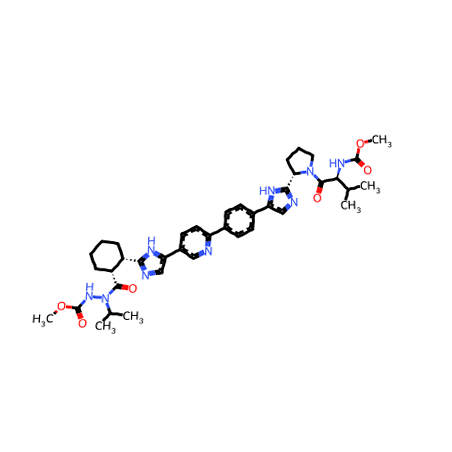 COC(=O)N[C@H](C(=O)N1CCC[C@H]1c1ncc(-c2ccc(-c3ccc(-c4cnc([C@H]5CCCC[C@H]5C(=O)N(NC(=O)OC)C(C)C)[nH]4)cn3)cc2)[nH]1)C(C)C